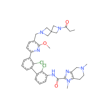 CCC(=O)N1CC2(CN(Cc3ccc(-c4cccc(-c5cccc(NC(=O)c6nc7c(n6C)CCN(C)C7)c5Cl)c4Cl)nc3OC)C2)C1